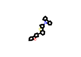 c1ccc2c(c1)oc1cc(-c3cccc4c3sc3ccc(-n5c6ccccc6c6ccccc65)cc34)ccc12